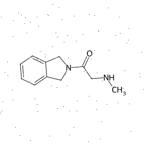 CNCC(=O)N1Cc2ccccc2C1